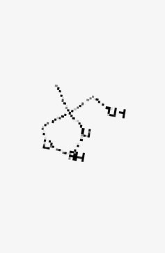 CC1(CO)COBO1